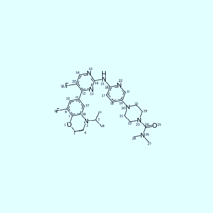 CC(C)N1CCOc2c(F)cc(-c3nc(Nc4ccc(N5CCN(C(=O)N(C)C)CC5)cn4)ncc3F)cc21